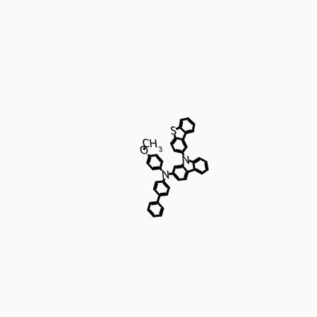 COc1ccc(N(c2ccc(-c3ccccc3)cc2)c2ccc3c4ccccc4n(-c4ccc5sc6ccccc6c5c4)c3c2)cc1